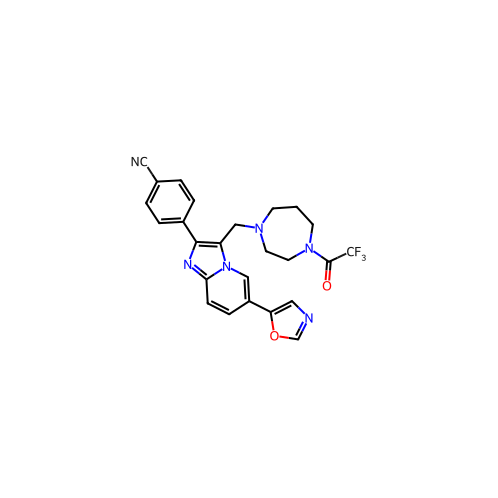 N#Cc1ccc(-c2nc3ccc(-c4cnco4)cn3c2CN2CCCN(C(=O)C(F)(F)F)CC2)cc1